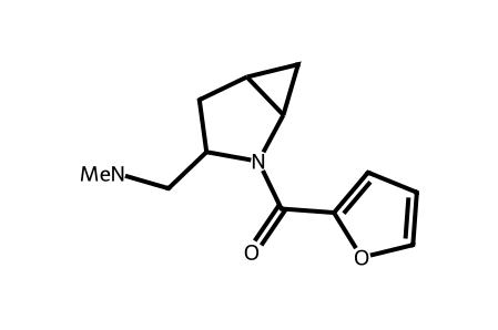 CNCC1CC2CC2N1C(=O)c1ccco1